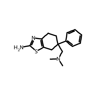 CN(C)CC1(c2ccccc2)CCc2nc(N)sc2C1